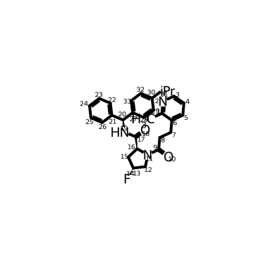 Cc1ncccc1CCC(=O)N1C[C@H](F)C[C@H]1C(=O)N[C@@H](c1ccccc1)c1ccc(C(C)C)cc1